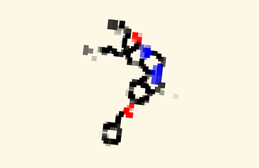 C=CCC1(CC=C)CC2C(c3ccc(OCc4ccccc4)cc3C)NCCN2C1=O